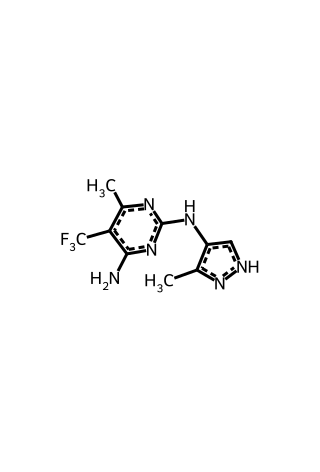 Cc1n[nH]cc1Nc1nc(C)c(C(F)(F)F)c(N)n1